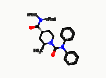 CCCCCN(CCCCC)C(=O)[C@@H]1CCN(C(=O)N(c2ccccc2)c2ccccc2)[C@@H](C(=O)O)C1